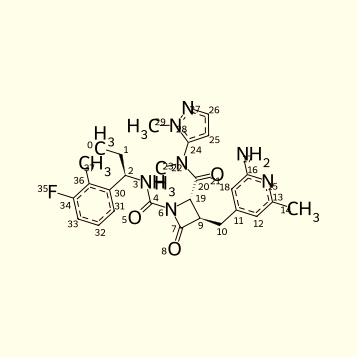 CC[C@@H](NC(=O)N1C(=O)[C@H](Cc2cc(C)nc(N)c2)[C@H]1C(=O)N(C)c1ccnn1C)c1cccc(F)c1C